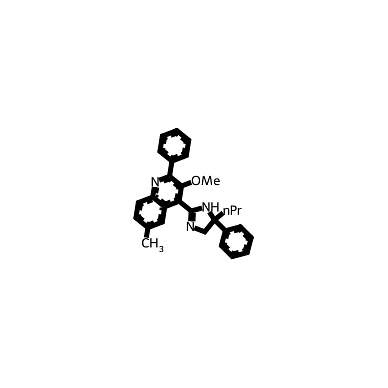 CCCC1(c2ccccc2)CN=C(c2c(OC)c(-c3ccccc3)nc3ccc(C)cc23)N1